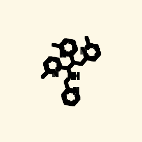 Cc1cccc(CC(c2cccc(C)n2)C(NCc2ccccn2)c2cccc(C)n2)n1